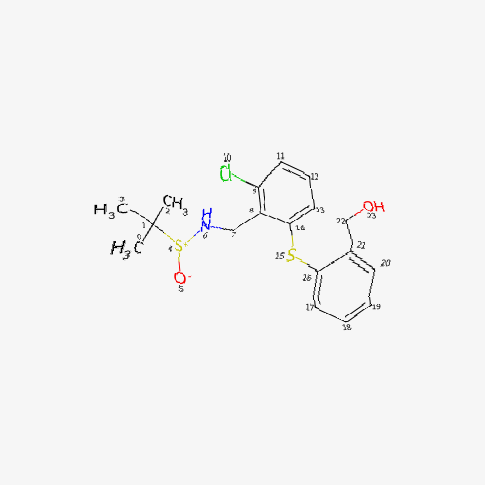 CC(C)(C)[S+]([O-])NCc1c(Cl)cccc1Sc1ccccc1CO